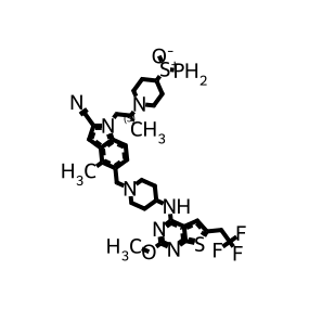 COc1nc(NC2CCN(Cc3ccc4c(cc(C#N)n4C[C@H](C)N4CCC([S+]([O-])P)CC4)c3C)CC2)c2cc(CC(F)(F)F)sc2n1